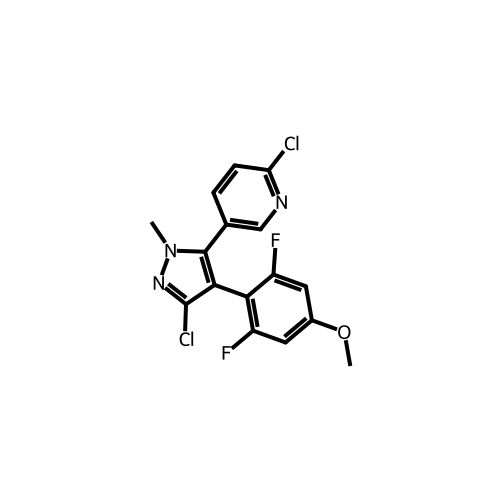 COc1cc(F)c(-c2c(Cl)nn(C)c2-c2ccc(Cl)nc2)c(F)c1